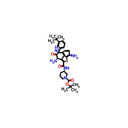 CC(C)(C)OC(=O)N1CCC[C@@H](NC(=O)c2sc3c(N)ccc4c3c2[C@@H](N)C(=O)[C@@]4(N)c2cccc(C(C)(C)C)c2)C1